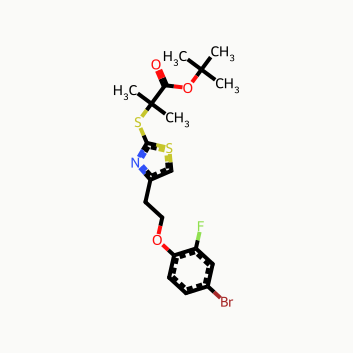 CC(C)(C)OC(=O)C(C)(C)Sc1nc(CCOc2ccc(Br)cc2F)cs1